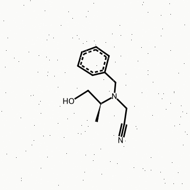 C[C@@H](CO)N(CC#N)Cc1ccccc1